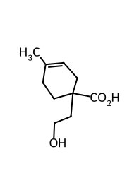 CC1=CCC(CCO)(C(=O)O)CC1